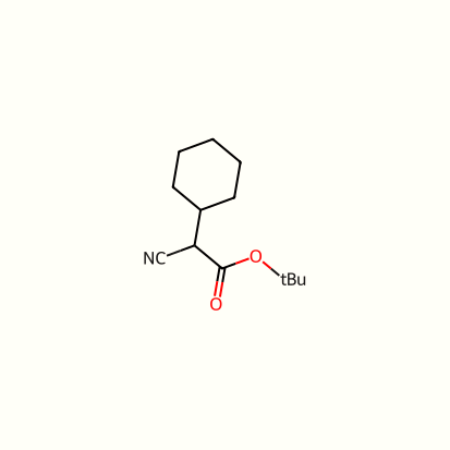 CC(C)(C)OC(=O)C(C#N)C1CCCCC1